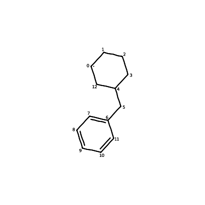 [CH]1CCCC(Cc2ccccc2)C1